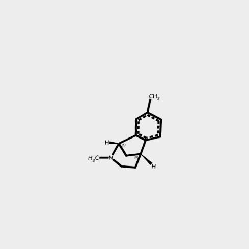 Cc1ccc2c(c1)[C@@H]1C[C@H]2CCN1C